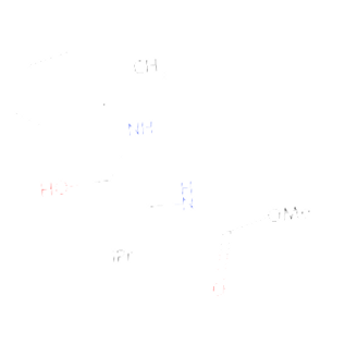 COC(=O)N[C@H](C(C)C)C(O)NC1(C)CC=CC1